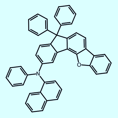 c1ccc(N(c2ccc3c(c2)-c2c(ccc4c2oc2ccccc24)C3(c2ccccc2)c2ccccc2)c2cccc3ccccc23)cc1